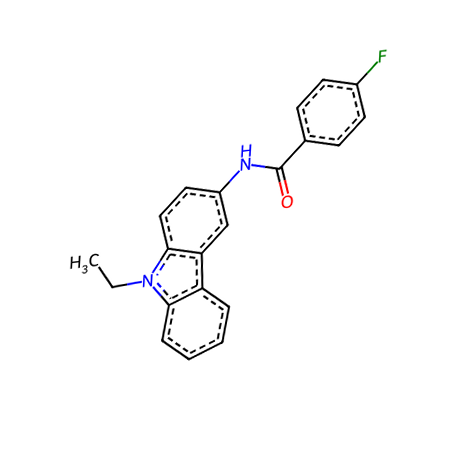 CCn1c2ccccc2c2cc(NC(=O)c3ccc(F)cc3)ccc21